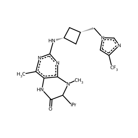 Cc1nc(N[C@H]2C[C@@H](Cn3cnc(C(F)(F)F)c3)C2)nc2c1NC(=O)C(C(C)C)N2C